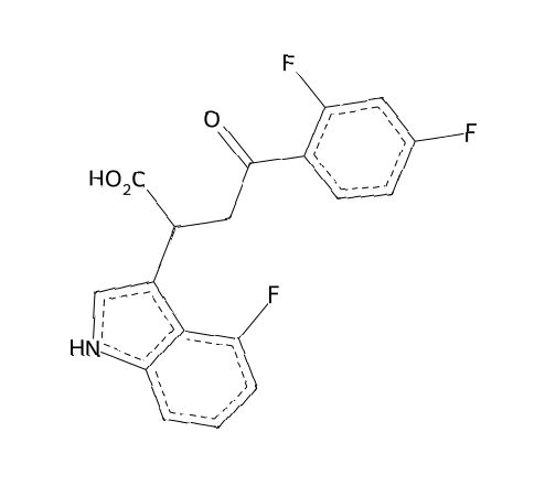 O=C(CC(C(=O)O)c1c[nH]c2cccc(F)c12)c1ccc(F)cc1F